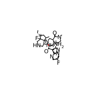 CC[C@@H]1CC(C)C2(N3CCN4CCN(C)C(=O)C4C3)C(NC(=O)c3c(N)nn4cc(F)cnc34)CNCC12F